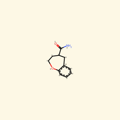 NC(=O)C1CCOc2ccccc2C1